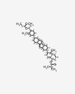 CCC(=O)OC(CC)c1ccc(-c2ccc3c(c2)sc2c4ccc(C5=CC=C6C(OC(=O)C(C)C)CC=CC6[C@H]5C)cc4sc32)cc1C